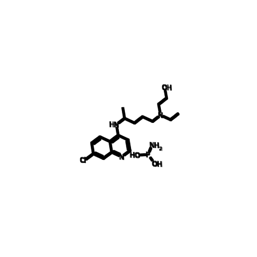 CCN(CCO)CCCC(C)Nc1ccnc2cc(Cl)ccc12.NP(O)O